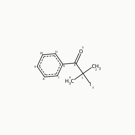 CC(C)(I)C(=O)c1ccccc1